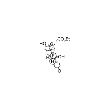 CCOC(=O)CCC(=O)O[C@]1(C(=O)CO)[C@H](C)C[C@H]2[C@@H]3CCC4=CC(=O)C=C[C@]4(C)[C@@]3(F)[C@@H](O)C[C@@]21C